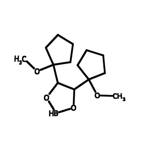 COC1(C2OBOC2C2(OC)CCCC2)CCCC1